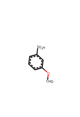 O=COc1cccc(S(=O)(=O)O)c1